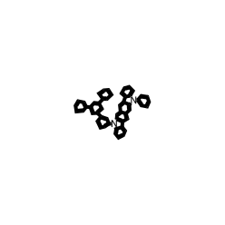 c1ccc(-c2cc(-c3ccccc3)cc(-c3cccc(-n4c5ccccc5c5cc6cc7c(cc6cc54)c4ccccc4n7-c4ccccc4)c3)c2)cc1